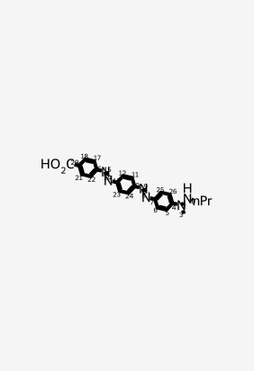 CCCNN(C)c1ccc(N=Nc2ccc(N=Nc3ccc(C(=O)O)cc3)cc2)cc1